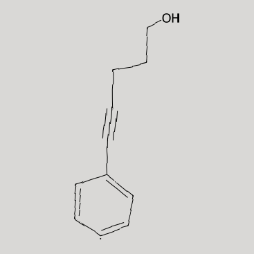 OCCCC#Cc1cc[c]cc1